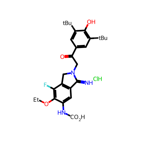 CCOc1c(NC(=O)O)cc2c(c1F)CN(CC(=O)c1cc(C(C)(C)C)c(O)c(C(C)(C)C)c1)C2=N.Cl